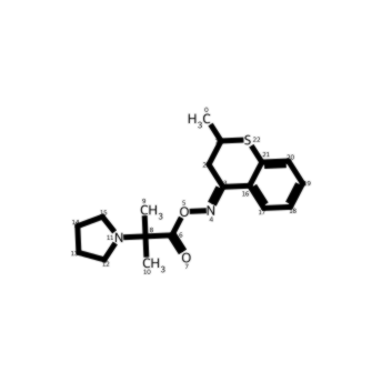 CC1C/C(=N\OC(=O)C(C)(C)N2CCCC2)c2ccccc2S1